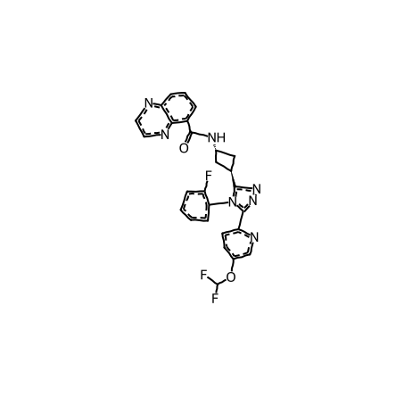 O=C(N[C@H]1C[C@H](c2nnc(-c3ccc(OC(F)F)cn3)n2-c2ccccc2F)C1)c1cccc2nccnc12